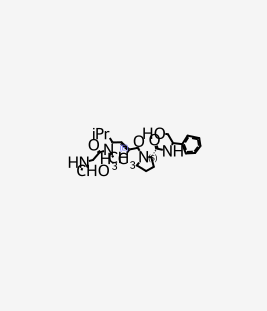 C/C(=C\C(C(C)C)N(C)C(=O)CNC=O)C(=O)N1CCC[C@H]1C(=O)NC(CO)c1ccccc1